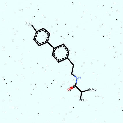 CCCC(NC)C(=O)NCCc1ccc(-c2ccc(C(F)(F)F)cc2)cc1